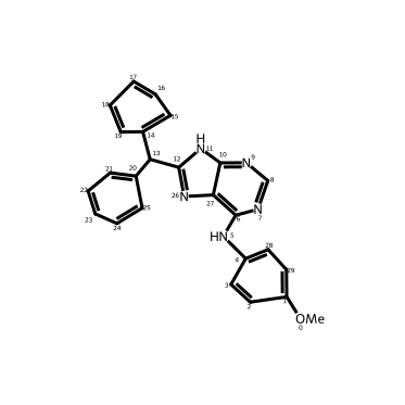 COc1ccc(Nc2n[c]nc3[nH]c(C(c4ccccc4)c4ccccc4)nc23)cc1